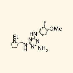 CCN1CCCC1CNc1nc(N)nc(Nc2ccc(OC)c(F)c2)n1